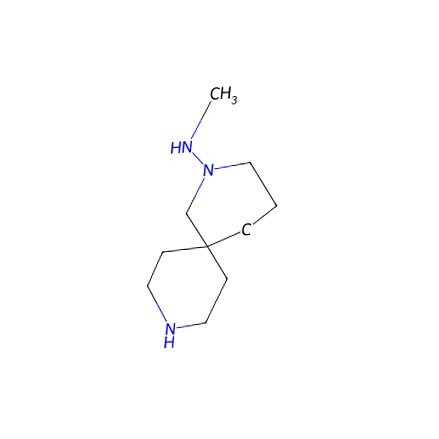 CNN1CCCC2(CCNCC2)C1